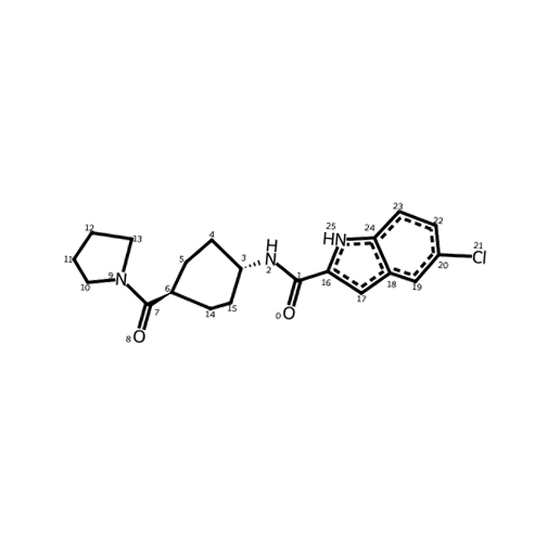 O=C(N[C@H]1CC[C@H](C(=O)N2CCCC2)CC1)c1cc2cc(Cl)ccc2[nH]1